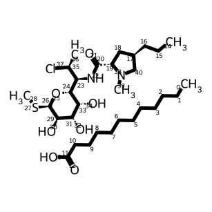 CCCCCCCCCCCC(=O)O.CCC[C@@H]1C[C@@H](C(=O)N[C@@H]([C@H]2O[C@H](SC)[C@H](O)[C@@H](O)[C@H]2O)[C@H](C)Cl)N(C)C1